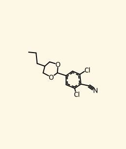 CCCC1COC(c2cc(Cl)c(C#N)c(Cl)c2)OC1